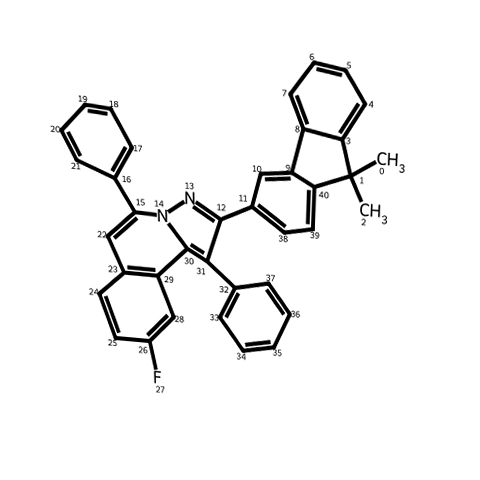 CC1(C)c2ccccc2-c2cc(-c3nn4c(-c5ccccc5)cc5ccc(F)cc5c4c3-c3ccccc3)ccc21